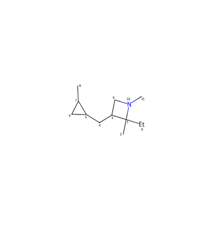 CCC1(C)C(CC2CC2C)CN1C